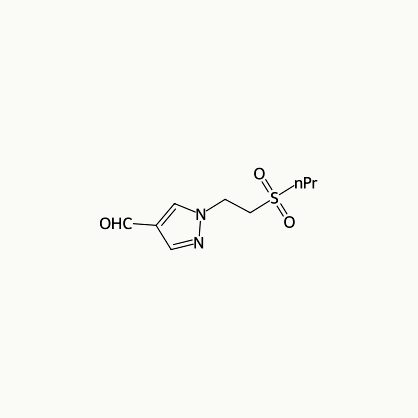 CCCS(=O)(=O)CCn1cc(C=O)cn1